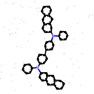 c1ccc(N(c2ccc(-c3ccc(N(c4ccccc4)c4ccc5cc6ccccc6cc5c4)cc3)cc2)c2ccc3cc4ccccc4cc3c2)cc1